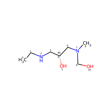 CCNC[C@@H](O)CN(C)CO